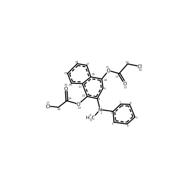 CN(c1ccccc1)c1cc(OC(=O)CCl)c2ccccc2c1OC(=O)CCl